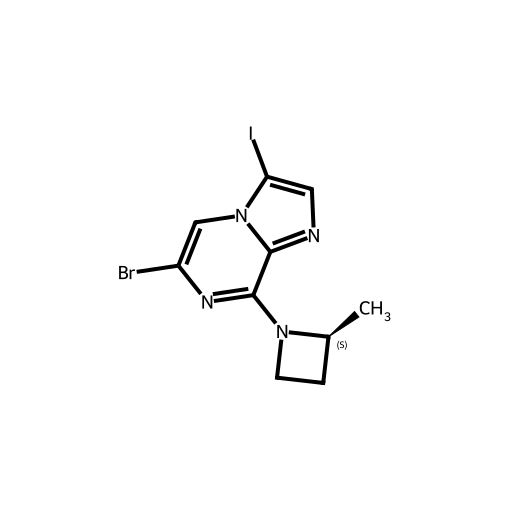 C[C@H]1CCN1c1nc(Br)cn2c(I)cnc12